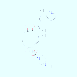 C/C(=C\C=C\[C@H](C)c1ccccn1)[C@H]1C(=O)C(=O)CCCC[C@](C)(O)[C@@H](OC(=O)N2CCN(C)CC2)/C=C/[C@@H]1C